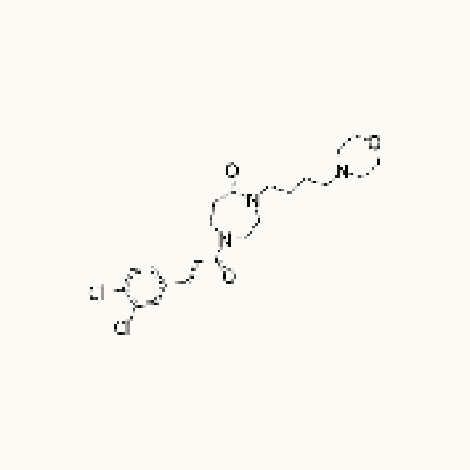 O=C(C=Cc1ccc(Cl)c(Cl)c1)N1CCC(=O)N(CCCCN2CCOCC2)CC1